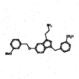 COc1cccc(COc2ccc3c(c2)c(CCN)cn3Cc2cccc(C(=O)O)c2)c1